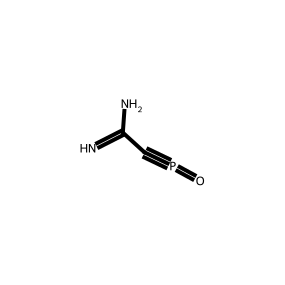 N=C(N)C#P=O